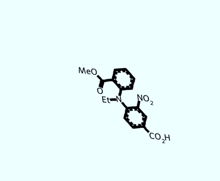 CCN(c1ccccc1C(=O)OC)c1ccc(C(=O)O)cc1[N+](=O)[O-]